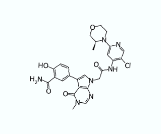 C[C@H]1COCCN1c1cc(NC(=O)Cn2cc(-c3ccc(O)c(C(N)=O)c3)c3c(=O)n(C)cnc32)c(Cl)cn1